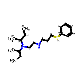 CCC(C)N(CCNCCCSc1ccccc1)C(C)CC